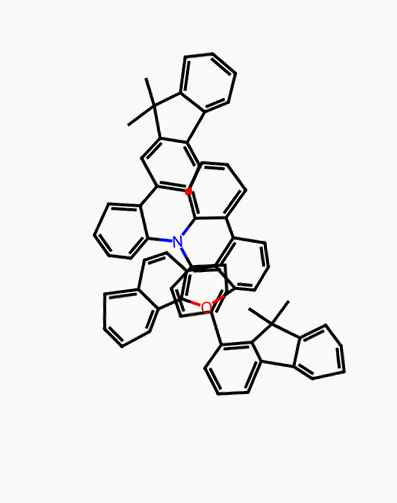 CC1(C)c2ccccc2-c2ccc(-c3ccccc3N(c3ccc(-c4cccc5c4C(C)(C)c4ccccc4-5)cc3)c3ccccc3-c3cccc4oc5c6ccccc6ccc5c34)cc21